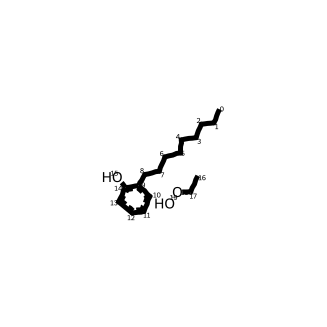 CCCCCCCCCc1ccccc1O.CCOO